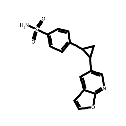 NS(=O)(=O)c1ccc(C2CC2c2cnc3occc3c2)cc1